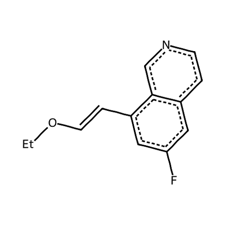 CCO/C=C/c1cc(F)cc2ccncc12